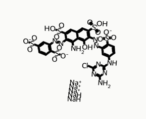 Nc1nc(Cl)nc(Nc2ccc(S(=O)(=O)[O-])c(N=Nc3c(S(=O)(=O)O)cc4cc(S(=O)(=O)O)c(N=Nc5cc(S(=O)(=O)[O-])ccc5S(=O)(=O)[O-])c(N)c4c3O)c2)n1.[Na+].[Na+].[Na+].[NaH].[NaH]